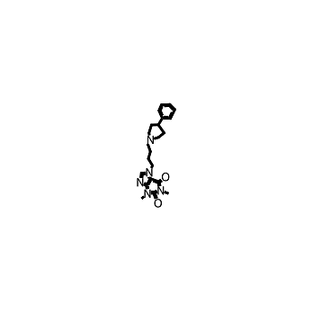 Cn1c(=O)c2c(ncn2CCCCN2CCC(c3ccccc3)CC2)n(C)c1=O